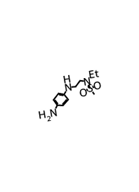 CCN(CCNc1ccc(N)cc1)S(C)(=O)=O